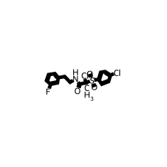 CC(C)(C(=O)NCCc1cccc(F)c1)S(=O)(=O)c1ccc(Cl)cc1